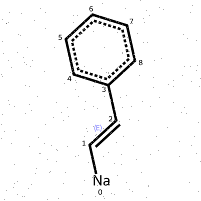 [Na]/[CH]=C/c1ccccc1